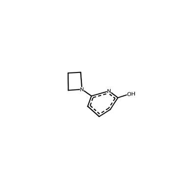 Oc1cccc(N2CCC2)n1